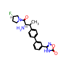 CC(c1ccc(-c2cccc(-c3noc(=O)[nH]3)c2)cc1)[C@H](N)C(=O)N1CC[C@H](F)C1